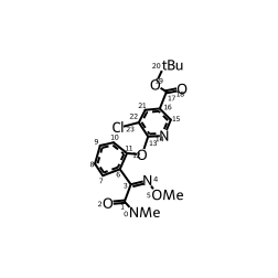 CNC(=O)C(=NOC)c1ccccc1Oc1ncc(C(=O)OC(C)(C)C)cc1Cl